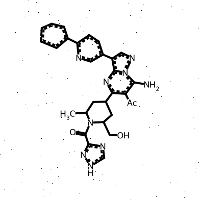 CC(=O)c1c(C2CC(C)N(C(=O)c3nc[nH]n3)C(CO)C2)nc2c(-c3ccc(-c4ccccc4)nc3)cnn2c1N